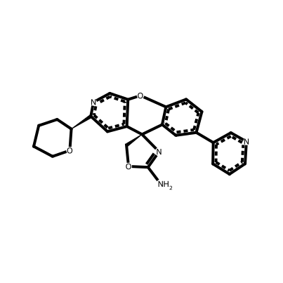 NC1=N[C@@]2(CO1)c1cc(-c3cccnc3)ccc1Oc1cnc([C@@H]3CCCCO3)cc12